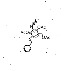 CC(=O)OC[C@H]1O[C@H](SCc2ccccc2)[C@H](OC(C)=O)[C@@H](N=[N+]=[N-])[C@H]1OC(C)=O